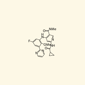 CNC(=O)c1cnc(NC(=O)C2CC2)cc1Nc1cc(F)cc(-c2ncccn2)c1OC